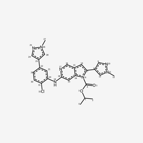 CC(C)OC(=O)n1c(-c2cnn(C)c2)cc2cnc(Nc3cc(-c4cnn(C)c4)ccc3Cl)cc21